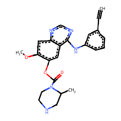 C#Cc1cccc(Nc2ncnc3cc(OC)c(OC(=O)N4CCNCC4C)cc23)c1